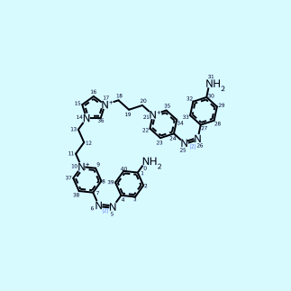 Nc1ccc(/N=N\c2cc[n+](CCCn3cc[n+](CCC[n+]4ccc(/N=N\c5ccc(N)cc5)cc4)c3)cc2)cc1